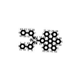 c1ccc(-c2cccc(-c3nc(-c4ccc(-c5c(-c6ccccc6)c(-c6ccccc6)c(-c6ccccc6)c(-c6ccccc6)c5-c5ccccc5)cc4)nc(-c4cccc(-c5ccccc5)c4)n3)c2)cc1